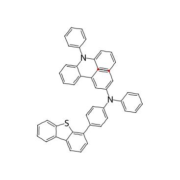 c1ccc(N(c2ccc(-c3cccc4c3sc3ccccc34)cc2)c2cccc(-c3ccccc3N(c3ccccc3)c3ccccc3)c2)cc1